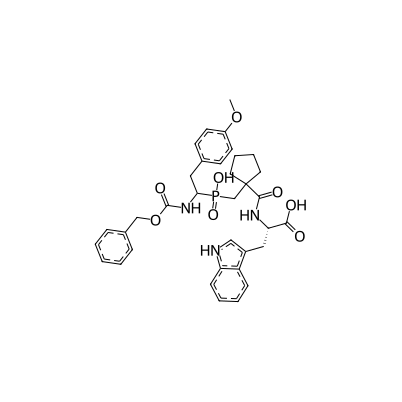 COc1ccc(CC(NC(=O)OCc2ccccc2)P(=O)(O)CC2(C(=O)N[C@@H](Cc3c[nH]c4ccccc34)C(=O)O)CCCC2)cc1